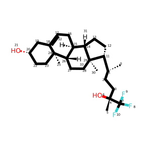 C[C@H](CC[C@@](C)(O)C(F)(F)F)[C@H]1CC[C@H]2[C@@H]3CC=C4C[C@@H](O)CC[C@]4(C)[C@H]3CC[C@]12C